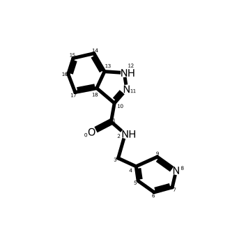 O=C(NCc1cccnc1)c1n[nH]c2ccccc12